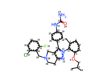 Cc1cccc(OCC(C)C)c1-n1nc2c(c1-c1ccc(NC(N)=O)cc1)CN(Cc1c(F)cccc1Cl)CC2